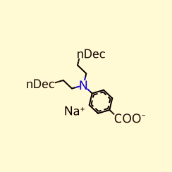 CCCCCCCCCCCCN(CCCCCCCCCCCC)c1ccc(C(=O)[O-])cc1.[Na+]